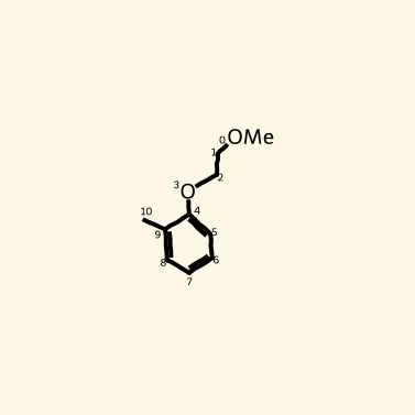 [CH2]OCCOc1ccccc1C